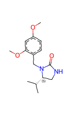 COc1ccc(CN2C(=O)NC[C@@H]2C(C)C)c(OC)c1